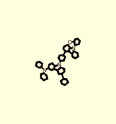 c1ccc(-c2ccc3c(c2)c2cc(N(c4ccccc4)c4ccccc4)ccc2n3-c2ccc(-c3ccc4c5c3c3ccccc3n5-c3ccccc3O4)cc2)cc1